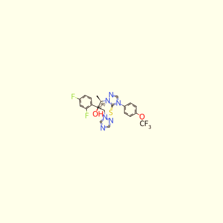 C[C@@H](n1ncn(-c2ccc(OC(F)(F)F)cc2)c1=S)[C@](O)(Cn1cncn1)c1ccc(F)cc1F